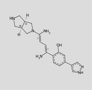 N/C(=C\C=C(/N)N1C[C@H]2CNC[C@H]2C1)c1ccc(-c2cn[nH]c2)cc1O